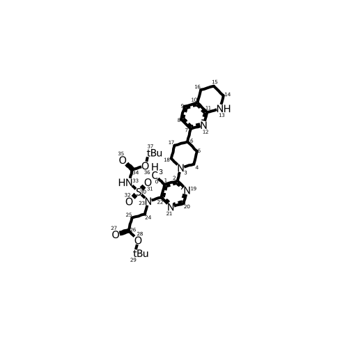 Cc1c(N2CCC(c3ccc4c(n3)NCCC4)CC2)ncnc1N(CCC(=O)OC(C)(C)C)S(=O)(=O)NC(=O)OC(C)(C)C